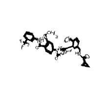 COc1cc(-n2nc(-c3cc(CNC(=O)C4CC4)ccc3Cl)[nH]c2=O)ccc1C(=O)Nc1cccc(C(F)(F)F)c1